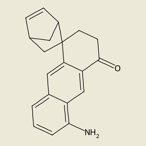 Nc1cccc2cc3c(cc12)C(=O)CCC31CC2C=CC1C2